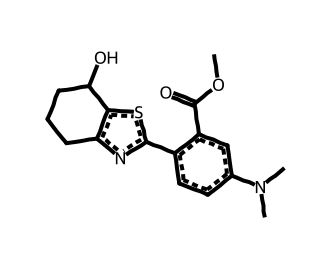 COC(=O)c1cc(N(C)C)ccc1-c1nc2c(s1)C(O)CCC2